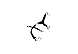 FC(F)(F)CC(F)(F)OC(C(F)(F)F)C(F)(F)F